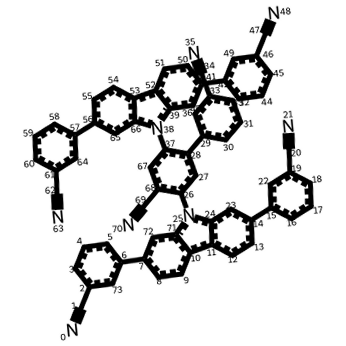 N#Cc1cccc(-c2ccc3c4ccc(-c5cccc(C#N)c5)cc4n(-c4cc(-c5cccc(C#N)c5)c(-n5c6cc(-c7cccc(C#N)c7)ccc6c6ccc(-c7cccc(C#N)c7)cc65)cc4C#N)c3c2)c1